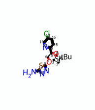 CC(C)(C)[Si](C)(C)O[C@@H](COc1nnc(N)s1)c1ccc(Cl)cn1